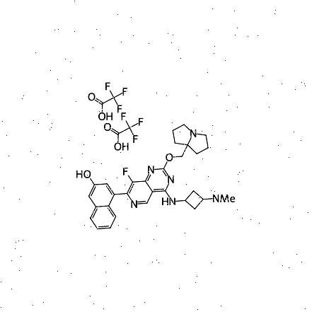 CNC1CC(Nc2nc(OCC34CCCN3CCC4)nc3c(F)c(-c4cc(O)cc5ccccc45)ncc23)C1.O=C(O)C(F)(F)F.O=C(O)C(F)(F)F